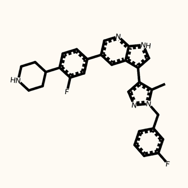 Cc1c(-c2c[nH]c3ncc(-c4ccc(C5CCNCC5)c(F)c4)cc23)cnn1Cc1cccc(F)c1